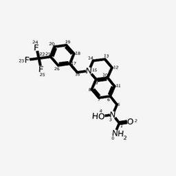 NC(=O)N(O)Cc1ccc2c(c1)CCCN2Cc1cccc(C(F)(F)F)c1